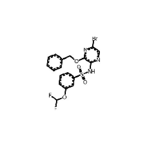 O=S(=O)(Nc1ncc(Br)nc1OCc1ccccc1)c1cccc(OC(F)F)c1